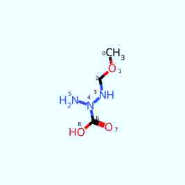 COCNN(N)C(=O)O